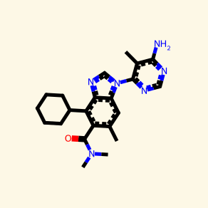 Cc1cc2c(ncn2-c2ncnc(N)c2C)c(C2CCCCC2)c1C(=O)N(C)C